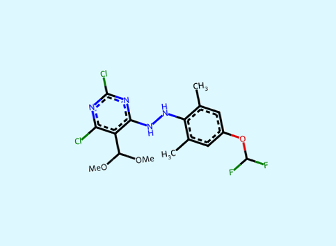 COC(OC)c1c(Cl)nc(Cl)nc1NNc1c(C)cc(OC(F)F)cc1C